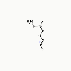 C/C=C/CCC(C)CN